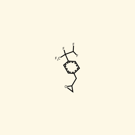 FC(F)C(F)(c1ccc(CC2CO2)cc1)C(F)(F)F